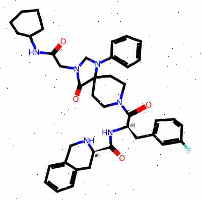 O=C(CN1CN(c2ccccc2)C2(CCN(C(=O)[C@@H](Cc3cccc(F)c3)NC(=O)[C@H]3Cc4ccccc4CN3)CC2)C1=O)NC1CCCCC1